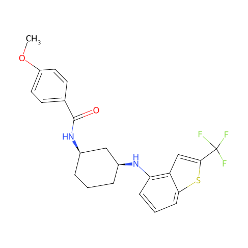 COc1ccc(C(=O)N[C@@H]2CCC[C@H](Nc3cccc4sc(C(F)(F)F)cc34)C2)cc1